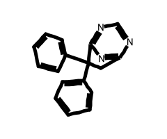 c1ccc(C2(c3ccccc3)Cc3ncnc2n3)cc1